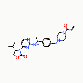 C=CC(=O)N1CCN(Cc2ccc([C@H](C)Nc3nccc(N4C(=O)OC[C@@H]4C(C)C)n3)cc2)CC1